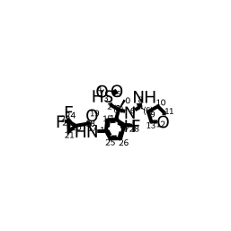 C[C@@](C[SH](=O)=O)(NC(=N)[C@@H]1CCOC1)c1cc(NC(=O)C2CC2(F)F)ccc1F